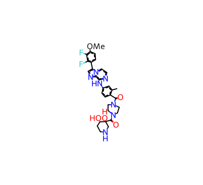 COc1ccc(-c2cnc3c(Nc4ccc(C(=O)N5CCN(C(=O)[C@@]6(O)CNCC[C@@H]6O)CC5)c(C)c4)nccn23)c(F)c1F